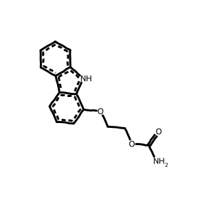 NC(=O)OCCOc1cccc2c1[nH]c1ccccc12